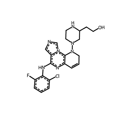 OCCC1CN(N2CC=Cc3nc(Nc4c(F)cccc4Cl)c4cncn4c32)CCN1